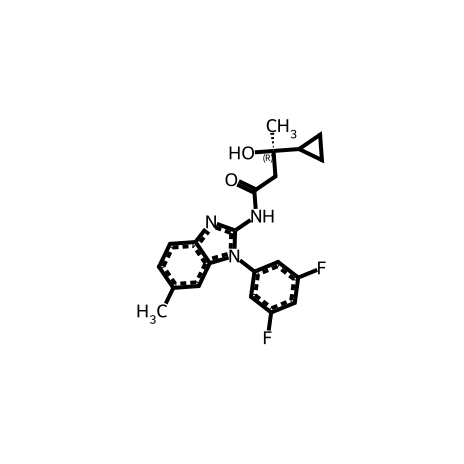 Cc1ccc2nc(NC(=O)C[C@@](C)(O)C3CC3)n(-c3cc(F)cc(F)c3)c2c1